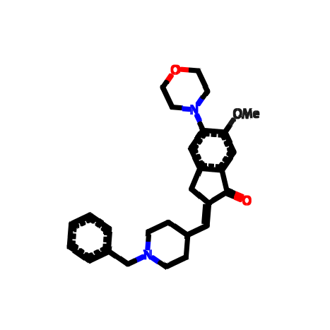 COc1cc2c(cc1N1CCOCC1)C/C(=C\C1CCN(Cc3ccccc3)CC1)C2=O